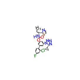 CC(NC(=O)Oc1cc(-c2ccc(F)cc2Cl)cc(-n2nnnc2C2CC2)c1)c1nccs1